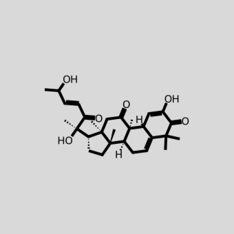 CC(O)/C=C/C(=O)[C@](C)(O)[C@H]1CC[C@@]2(C)[C@@H]3CC=C4[C@@H](C=C(O)C(=O)C4(C)C)[C@]3(C)C(=O)C[C@]12C